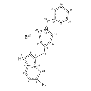 Fc1ccc2[nH]cc(Cc3cc[n+](Cc4ccccc4)cc3)c2c1.[Br-]